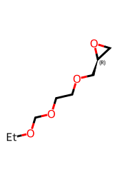 CCOCOCCOC[C@@H]1CO1